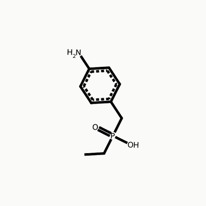 CCP(=O)(O)Cc1ccc(N)cc1